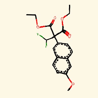 CCOC(=O)C(C(=O)OCC)(c1ccc2cc(OC)ccc2c1)C(F)F